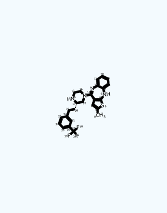 Cc1cc2c(s1)Nc1ccccc1N=C2N1CCN[C@@H](CCc2cccc(C(F)(F)F)c2)C1